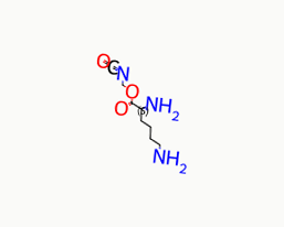 NCCCC[C@H](N)C(=O)OCN=C=O